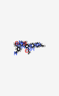 C=CC(=O)Nc1cc(Nc2cc(N3OCCC3c3cccc(C#N)c3)ncn2)c(OC)cc1N1CCC(N2CCN(CCC)CC2)CC1